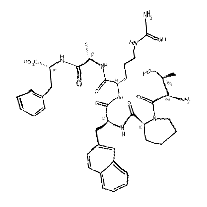 C[C@H](NC(=O)[C@H](CCCNC(=N)N)NC(=O)[C@H](Cc1ccc2ccccc2c1)NC(=O)[C@@H]1CCCCN1C(=O)[C@H](N)[C@H](C)O)C(=O)N[C@H](Cc1ccccc1)C(=O)O